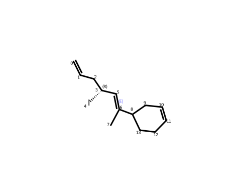 C=CC[C@@H](I)/C=C(\C)C1CC=CCC1